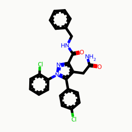 NC(=O)Cc1c(C(=O)NCc2ccccc2)nn(-c2ccccc2Cl)c1-c1ccc(Cl)cc1